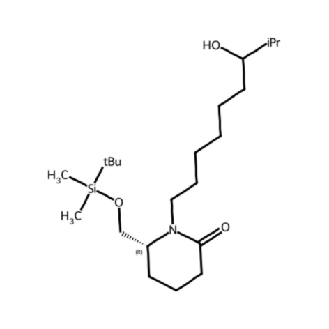 CC(C)C(O)CCCCCCN1C(=O)CCC[C@@H]1CO[Si](C)(C)C(C)(C)C